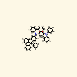 C1=CC2=C(CC1)C1(c3ccccc32)c2ccccc2-c2cc(N(c3ccc4c(c3)c3ccccc3n4-c3ccccc3)c3ccccc3-c3ccccc3)ccc21